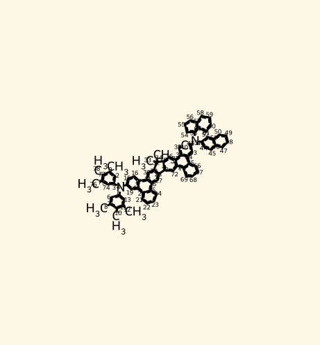 Cc1cc(N(c2cc(C)c(C)c(C)c2)c2ccc3c(c2)c2ccccc2c2cc4c(cc32)C(C)(C)c2cc3c5ccc(N(c6ccc7ccccc7c6)c6cccc7ccccc67)cc5c5ccccc5c3cc2-4)cc(C)c1C